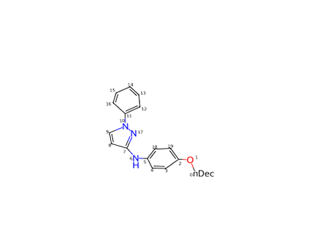 CCCCCCCCCCOc1ccc(Nc2ccn(-c3ccccc3)n2)cc1